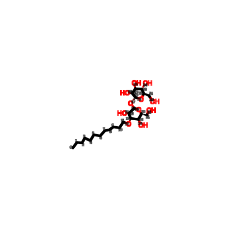 CCCCCCCCCCCCO[C@@H]1[C@@H](O)[C@@H](O[C@H]2O[C@H](CO)[C@@H](O)[C@H](O)[C@H]2O)O[C@H](CO)[C@H]1O